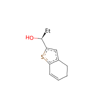 CC[C@H](O)c1cc2c(s1)C=CCC2